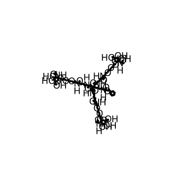 CC(=O)N[C@@H]1[C@@H](OCCOCCOCCNC(=O)CCCNC(=O)CN(CC(=O)NCCCC(=O)NCCOCCOCCO[C@H]2O[C@@H](CO)[C@@H](O)[C@@H](O)[C@@H]2NC(C)=O)C(CCCCNC(=O)OCc2ccccc2)C(=O)NCCCC(=O)NCCOCCOCCO[C@H]2O[C@@H](CO)[C@@H](O)[C@@H](O)[C@@H]2NC(C)=O)O[C@@H](CO)[C@@H](O)[C@H]1O